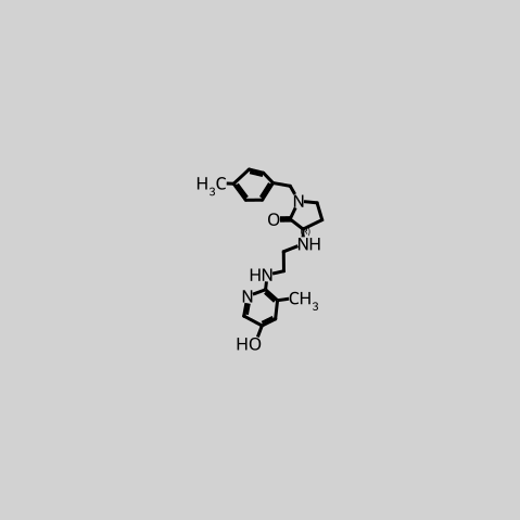 Cc1ccc(CN2CC[C@@H](NCCNc3ncc(O)cc3C)C2=O)cc1